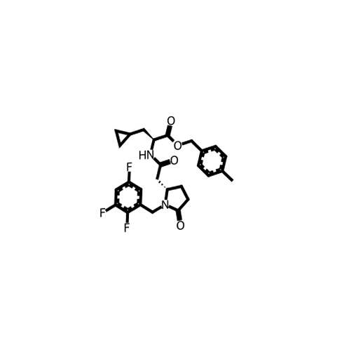 Cc1ccc(COC(=O)[C@H](CC2CC2)NC(=O)C[C@@H]2CCC(=O)N2Cc2cc(F)cc(F)c2F)cc1